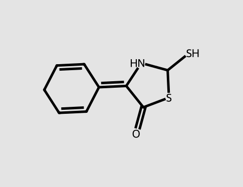 O=C1SC(S)NC1=C1C=CCC=C1